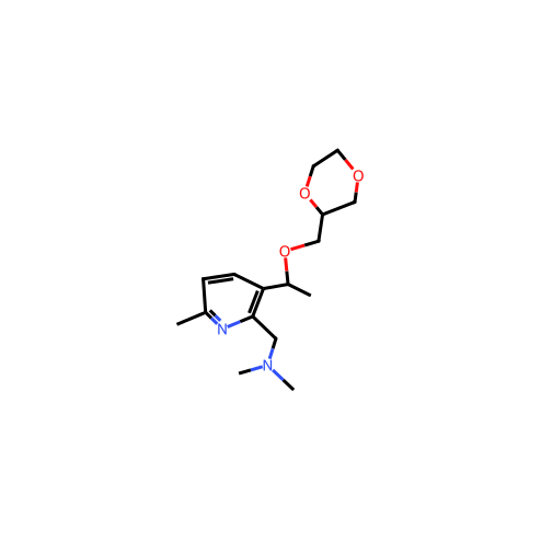 Cc1ccc(C(C)OCC2COCCO2)c(CN(C)C)n1